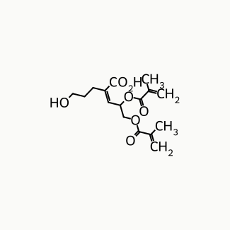 C=C(C)C(=O)OCC(C=C(CCCO)C(=O)O)OC(=O)C(=C)C